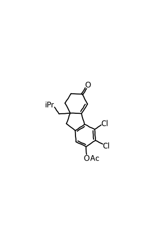 CC(=O)Oc1cc2c(c(Cl)c1Cl)C1=CC(=O)CCC1(CC(C)C)C2